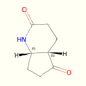 O=C1CC[C@@H]2C(=O)CC[C@@H]2N1